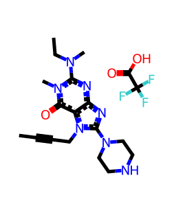 CC#CCn1c(N2CCNCC2)nc2nc(N(C)CC)n(C)c(=O)c21.O=C(O)C(F)(F)F